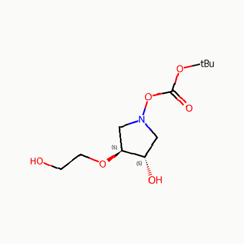 CC(C)(C)OC(=O)ON1C[C@H](OCCO)[C@@H](O)C1